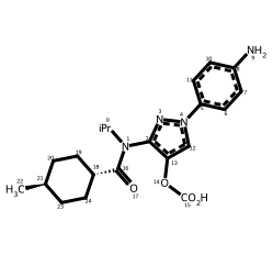 CC(C)N(c1nn(-c2ccc(N)cc2)cc1OC(=O)O)C(=O)[C@H]1CC[C@H](C)CC1